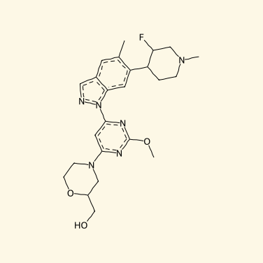 COc1nc(N2CCOC(CO)C2)cc(-n2ncc3cc(C)c(C4CCN(C)CC4F)cc32)n1